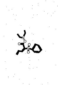 C=CC=C(C(=O)ON(CC)CC)S(=O)(=O)c1ccccc1